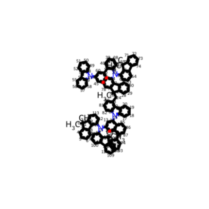 CC1(C)c2ccccc2-c2c(N(c3cc(-n4c5ccccc5c5c(CC6(C)c7ccccc7-c7c(N(c8ccccc8-c8cccc(-n9c%10ccccc%10c%10ccccc%109)c8)c8cccc9c8C(C)(C)c8ccccc8-9)cccc76)cccc54)c4cccc(-c5ccccc5)c4c3)c3cccc4c3C(C)(C)c3ccccc3-4)cccc21